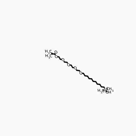 C=C(C)C(=O)OCCOCCOCCOCCOCCCCCCCCCCC[Si](C)(C)O